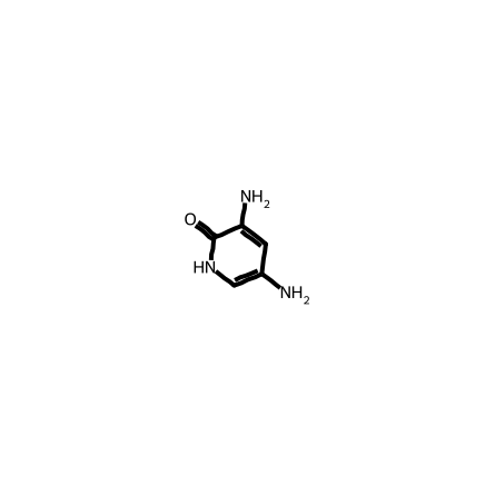 Nc1c[nH]c(=O)c(N)c1